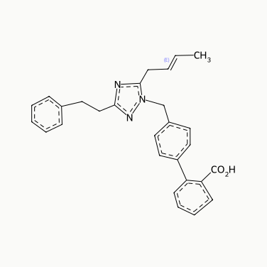 C/C=C/Cc1nc(CCc2ccccc2)nn1Cc1ccc(-c2ccccc2C(=O)O)cc1